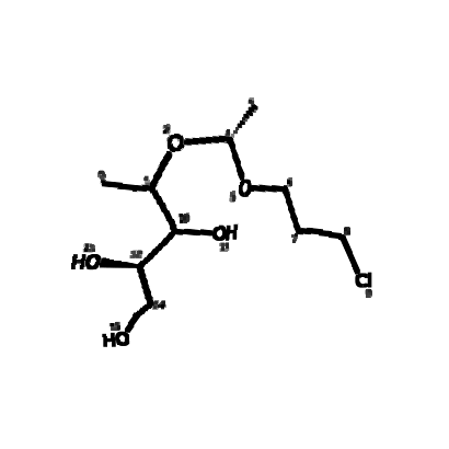 CC(O[C@H](C)OCCCCl)C(O)[C@H](O)CO